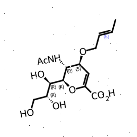 C/C=C/CO[C@H]1C=C(C(=O)O)O[C@@H]([C@H](O)[C@H](O)CO)[C@@H]1NC(C)=O